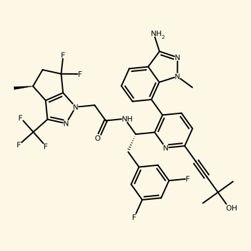 C[C@H]1CC(F)(F)c2c1c(C(F)(F)F)nn2CC(=O)N[C@@H](Cc1cc(F)cc(F)c1)c1nc(C#CC(C)(C)O)ccc1-c1cccc2c(N)nn(C)c12